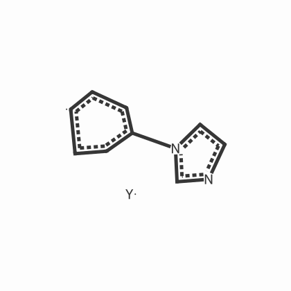 [Y].[c]1ccc(-n2ccnc2)cc1